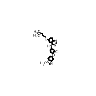 CN(C)CCCOc1ccc2ncnc(Nc3ccc(Oc4ccc5c(c4)ncn5C)c(Cl)c3)c2c1